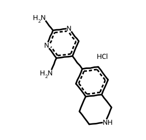 Cl.Nc1ncc(-c2ccc3c(c2)CCNC3)c(N)n1